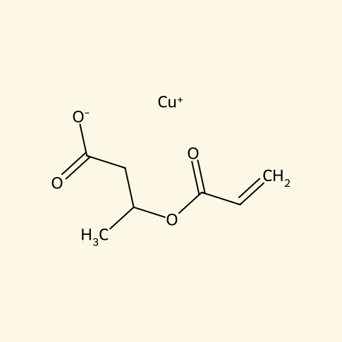 C=CC(=O)OC(C)CC(=O)[O-].[Cu+]